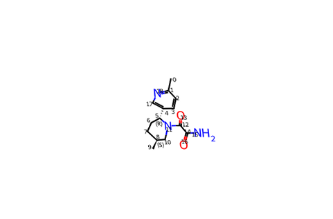 Cc1ccc([C@H]2CC[C@H](C)CN2C(=O)C(N)=O)cn1